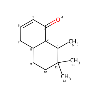 CC1C2C(=O)C=CCC2CCC1(C)C